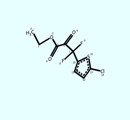 CCOC(=O)C(=O)C(F)(F)c1ccc(Cl)s1